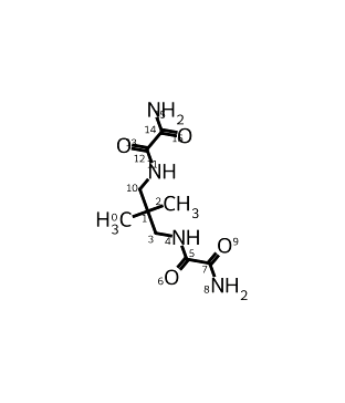 CC(C)(CNC(=O)C(N)=O)CNC(=O)C(N)=O